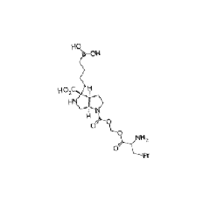 CC(C)CC(N)C(=O)OCOC(=O)N1CC[C@H]2[C@@H]1CN[C@@]2(CCCCB(O)O)C(=O)O